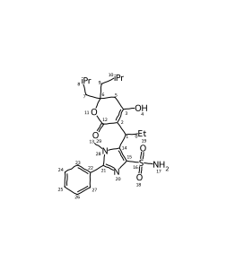 CCC(C1=C(O)CC(CC(C)C)(CC(C)C)OC1=O)c1c(S(N)(=O)=O)nc(-c2ccccc2)n1C